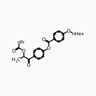 CCCCCCOc1ccc(C(=O)Oc2ccc(C(=O)C(C)OC(=O)CCC)cc2)cc1